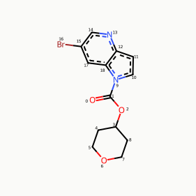 O=C(OC1CCOCC1)n1ccc2ncc(Br)cc21